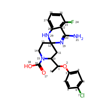 CC(Oc1ccc(Cl)cc1)C1CC2(CCN1C(=O)O)N=C(N)c1c(F)cccc1N2